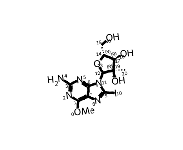 COc1nc(N)nc2c1nc(I)n2C1O[C@H](CO)[C@@H](O)[C@@]1(C)O